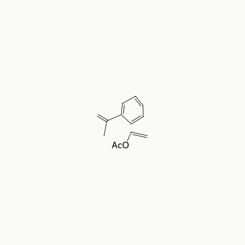 C=C(C)c1ccccc1.C=COC(C)=O